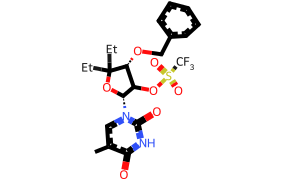 CCC1(CC)O[C@@H](n2cc(C)c(=O)[nH]c2=O)C(OS(=O)(=O)C(F)(F)F)[C@H]1OCc1ccccc1